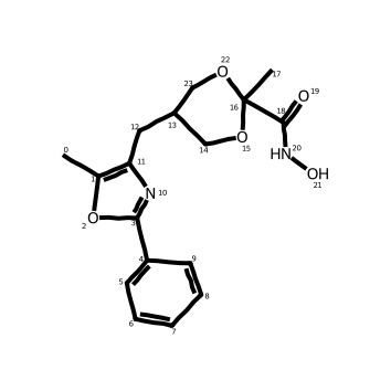 Cc1oc(-c2ccccc2)nc1CC1COC(C)(C(=O)NO)OC1